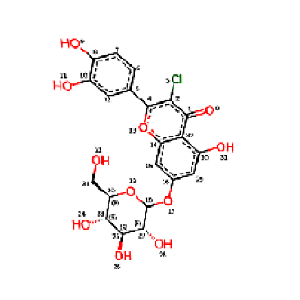 O=c1c(Cl)c(-c2ccc(O)c(O)c2)oc2cc(OC3O[C@H](CO)[C@@H](O)[C@H](O)[C@H]3O)cc(O)c12